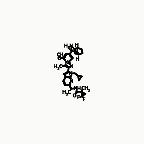 COc1cc(C(=O)N2[C@H]3CC[C@@H]2[C@H](N)C3)cc2nc(-c3cc4ccc([C@@H](C)NC(=O)C5(C)CC5(F)F)nc4n3CC3CC3)c(C)n12